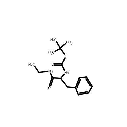 CCNC(=O)C(Cc1ccccc1)NC(=O)OC(C)(C)C